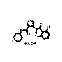 CC(=O)O.O=C(NC1CCNCC1)c1n[nH]cc1NC(=O)c1c(Cl)cccc1Cl